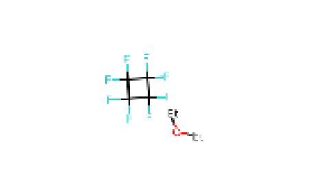 CCOCC.FC1(F)C(F)(F)C(F)(F)C1(F)F